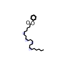 CCCCC/C=C\C/C=C\C/C=C\C/C=C\CCCC(=O)Oc1ccccc1